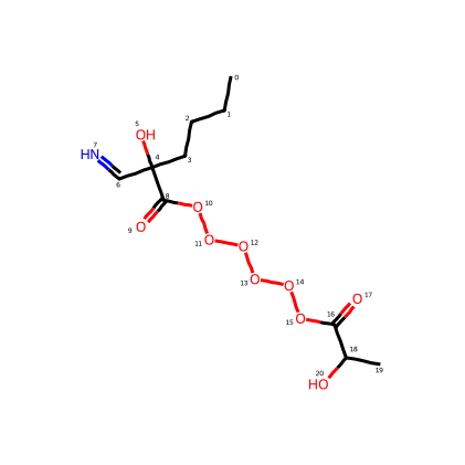 CCCCC(O)(C=N)C(=O)OOOOOOC(=O)C(C)O